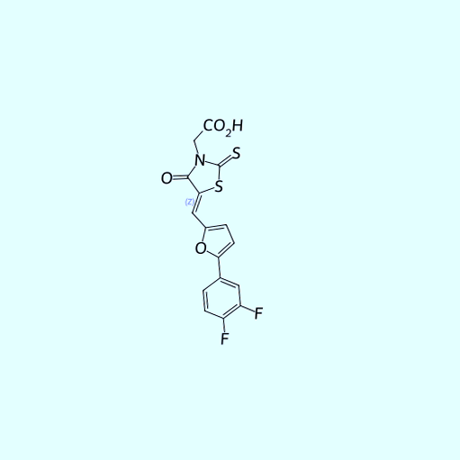 O=C(O)CN1C(=O)/C(=C/c2ccc(-c3ccc(F)c(F)c3)o2)SC1=S